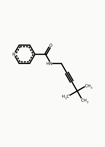 CC(C)(C)C#CCNC(=O)c1ccncc1